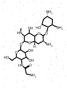 CNC1C(OC2OC(CO)C(NC(=O)CN)C(O)C2O)O[C@H]2C[C@H](N)C(OC3C(N)C[C@@H](N)C[C@H]3O)OC2C1O